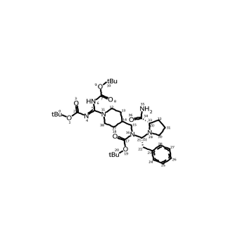 CC(C)(C)OC(=O)N=C(NC(=O)OC(C)(C)C)N1CCC(CN(C(=O)OC(C)(C)C)[C@@H](Cc2ccccc2)N2CCC[C@H]2C(N)=O)CC1